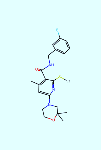 CCSc1nc(N2CCOC(C)(C)C2)cc(C)c1C(=O)NCc1cccc(F)c1